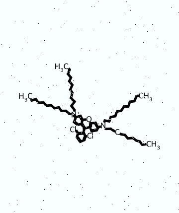 CCCCCCCCCCCCN(CCCCCCCCCCCC)c1ccc2c(-c3c(Cl)cccc3Cl)c3ccc(=[N+](CCCCCCCCCCCC)CCCCCCCCCCCC)cc-3oc2c1